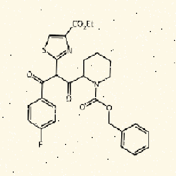 CCOC(=O)c1csc(C(C(=O)c2ccc(F)cc2)C(=O)C2CCCCN2C(=O)OCc2ccccc2)n1